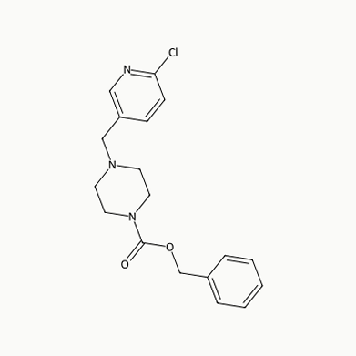 O=C(OCc1ccccc1)N1CCN(Cc2ccc(Cl)nc2)CC1